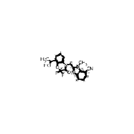 CC(O)c1cccc2c1OC(F)(F)C(=O)N2Cc1nc2cccc(C#N)c2n1C